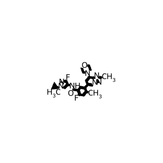 Cc1nc2c(N3CCOCC3)cc(-c3cc(C(=O)Nc4cn(C5(C)CC5)nc4F)c(F)cc3C)cn2n1